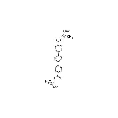 CC(=O)O[C@@H](C)COC(=O)c1ccc(-c2ccc(-c3ccc(C(=O)OC[C@H](C)OC(C)=O)cc3)cc2)cc1